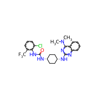 CN(C)c1nc(N[C@H]2CC[C@@H](NC(=O)Nc3c(Cl)cccc3C(F)(F)F)CC2)nc2ccccc12